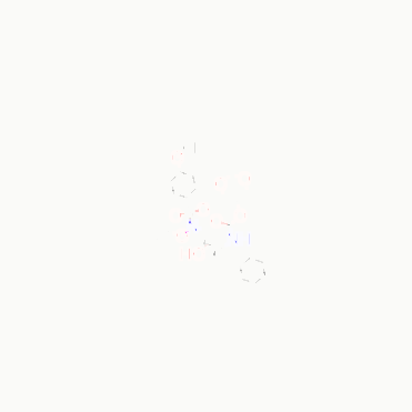 COc1ccc(S(=O)(=O)N(C[C@@H](O)[C@@H](Cc2ccccc2)NC(=O)OC2COCOC2)OC2CCCC2)cc1